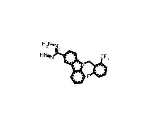 N=N/C(=N\N)c1ccc2c(c1)c1ccccc1n2Cc1c(F)cccc1C(F)(F)F